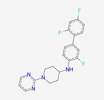 Fc1ccc(-c2ccc(NC3CCN(c4ncccn4)CC3)c(F)c2)c(F)c1